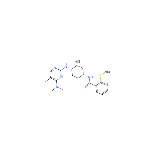 Cc1cnc(N[C@H]2CC[C@@H](NC(=O)c3cccnc3SC(C)(C)C)CC2)nc1N(C)C.Cl